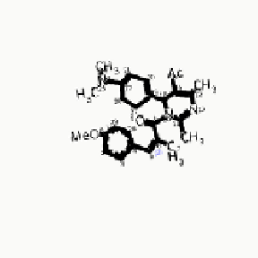 COc1ccc(/C=C(/C)C(=O)N2C(C)=NC(C)=C(C(C)=O)C2C2=CC=C(N(C)C)CC2)cc1